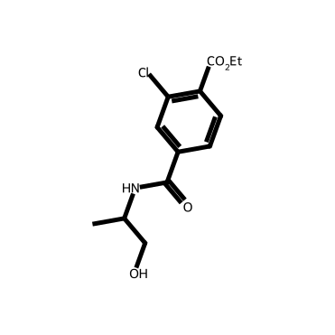 CCOC(=O)c1ccc(C(=O)NC(C)CO)cc1Cl